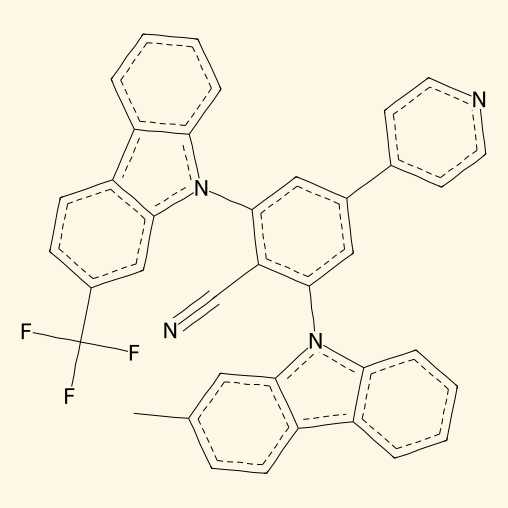 Cc1ccc2c3ccccc3n(-c3cc(-c4ccncc4)cc(-n4c5ccccc5c5ccc(C(F)(F)F)cc54)c3C#N)c2c1